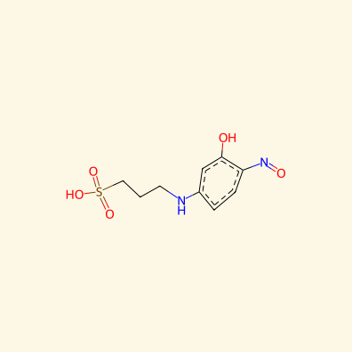 O=Nc1ccc(NCCCS(=O)(=O)O)cc1O